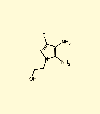 Nc1c(F)nn(CCO)c1N